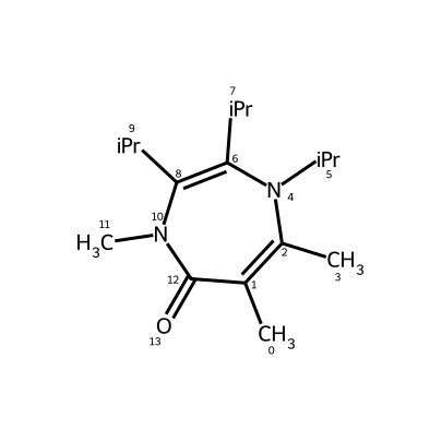 CC1=C(C)N(C(C)C)C(C(C)C)=C(C(C)C)N(C)C1=O